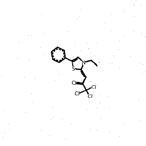 CCN1C=C(c2ccccc2)SC1=CC(=O)C(Cl)(Cl)Cl